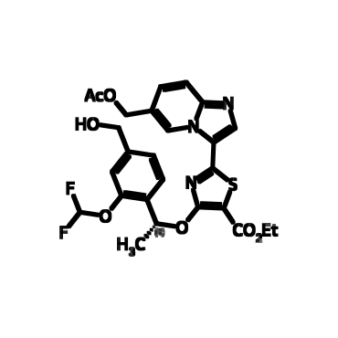 CCOC(=O)c1sc(-c2cnc3ccc(COC(C)=O)cn23)nc1O[C@H](C)c1ccc(CO)cc1OC(F)F